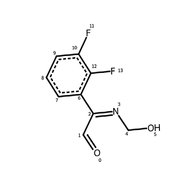 O=C/C(=N\CO)c1cccc(F)c1F